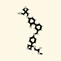 COC(=O)COC1(c2ccc(OCc3cccc(-c4ccc(OCC5(CO)COC5)cc4Cl)c3)cc2)COC1